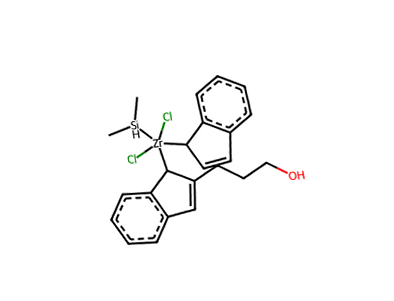 C[SiH](C)[Zr]([Cl])([Cl])([CH]1C=Cc2ccccc21)[CH]1C(CCCO)=Cc2ccccc21